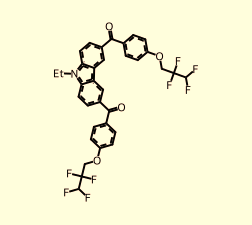 CCn1c2ccc(C(=O)c3ccc(OCC(F)(F)C(F)F)cc3)cc2c2cc(C(=O)c3ccc(OCC(F)(F)C(F)F)cc3)ccc21